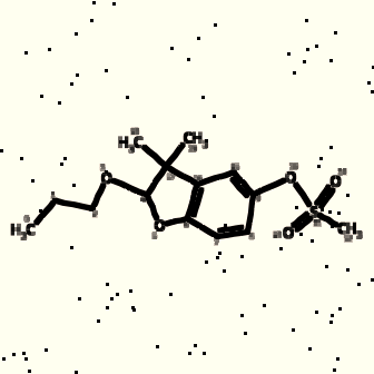 CCCOC1Oc2ccc(OS(C)(=O)=O)cc2C1(C)C